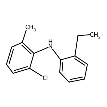 CCc1ccccc1Nc1c(C)cccc1Cl